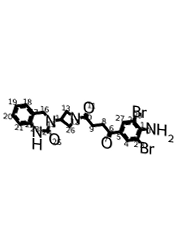 Nc1c(Br)cc(C(=O)CCC(=O)N2CC(N3Cc4ccccc4NC3=O)C2)cc1Br